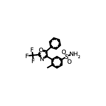 Cc1ccc(S(N)(=O)=O)cc1-c1nc(C(F)(F)F)oc1-c1ccccc1